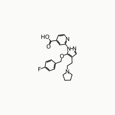 O=C(O)c1ccnc(-n2ncc(CCN3CCCC3)c2OCc2ccc(F)cc2)c1